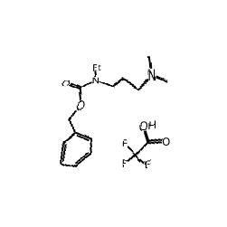 CCN(CCCN(C)C)C(=O)OCc1ccccc1.O=C(O)C(F)(F)F